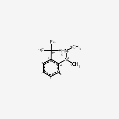 CNN(C)c1ncccc1C(F)(F)F